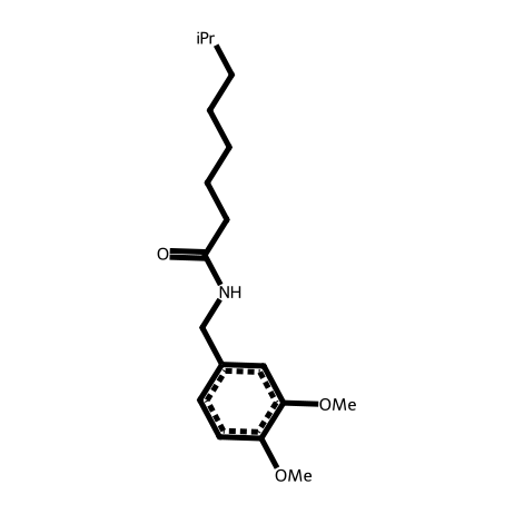 COc1ccc(CNC(=O)CCCCCC(C)C)cc1OC